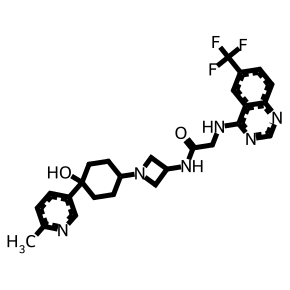 Cc1ccc(C2(O)CCC(N3CC(NC(=O)CNc4ncnc5ccc(C(F)(F)F)cc45)C3)CC2)cn1